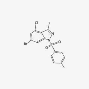 Cc1ccc(S(=O)(=O)n2nc(C)c3c(Cl)cc(Br)cc32)cc1